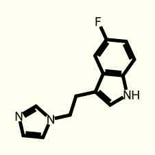 Fc1ccc2[nH]cc(CCn3ccnc3)c2c1